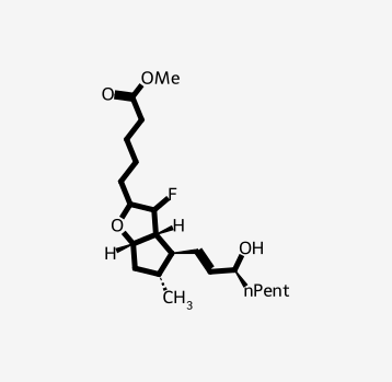 CCCCC[C@H](O)/C=C/[C@@H]1[C@H]2C(F)C(CCCCC(=O)OC)O[C@H]2C[C@H]1C